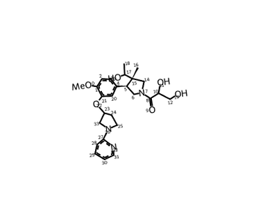 COc1ccc([C@@H]2CN(C(=O)C(O)CO)C[C@@]2(C)C(C)O)cc1OC1CCN(c2ccccn2)C1